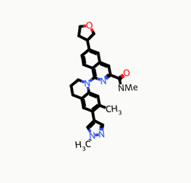 CNC(=O)c1cc2cc(C3CCOC3)ccc2c(N2CCCc3cc(-c4cnn(C)c4)c(C)cc32)n1